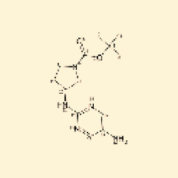 CC(C)(C)OC(=O)N1CC[C@H](Nc2ncc(N)cn2)C1